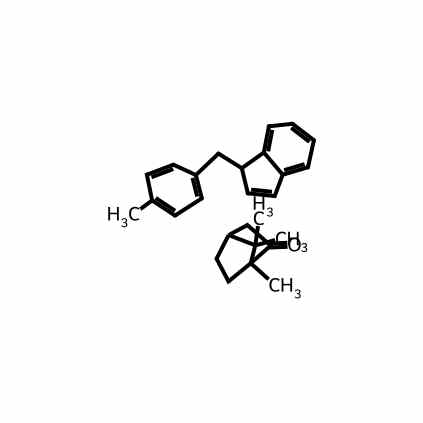 CC12CCC(CC1=O)C2(C)C.Cc1ccc(CC2C=Cc3ccccc32)cc1